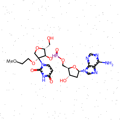 COCCO[C@]1(n2ccc(=O)[nH]c2=O)CO[C@H](CO)[C@H]1O[PH](=O)OC[C@H]1O[C@@H](n2cnc3c(N)ncnc32)C[C@@H]1O